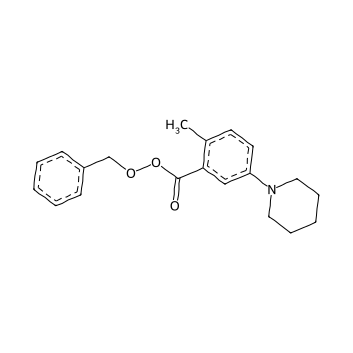 Cc1ccc(N2CCCCC2)cc1C(=O)OOCc1ccccc1